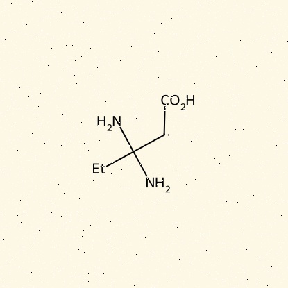 CCC(N)(N)[CH]C(=O)O